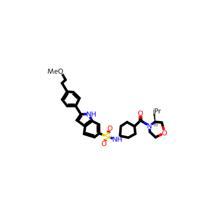 COCCc1ccc(-c2cc3ccc(S(=O)(=O)NC4CCC(C(=O)N5CCOC[C@@H]5C(C)C)CC4)cc3[nH]2)cc1